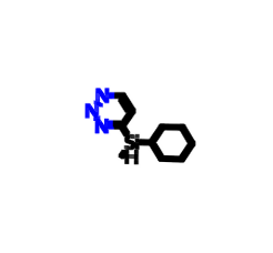 C[SiH](c1ccnnn1)C1CCCCC1